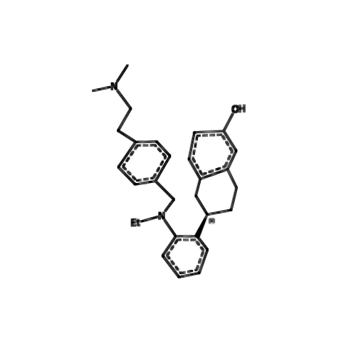 CCN(Cc1ccc(CCN(C)C)cc1)c1ccccc1[C@@H]1CCc2cc(O)ccc2C1